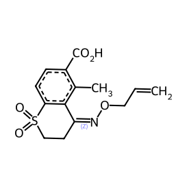 C=CCO/N=C1/CCS(=O)(=O)c2ccc(C(=O)O)c(C)c21